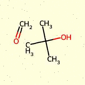 C=O.CC(C)(C)O